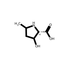 CC1CC(O)[C@@H](C(=O)O)N1